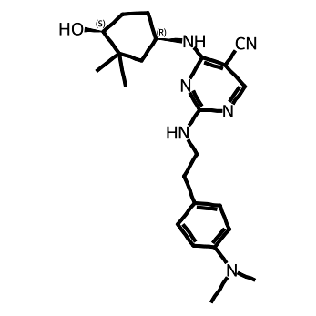 CN(C)c1ccc(CCNc2ncc(C#N)c(N[C@@H]3CC[C@H](O)C(C)(C)C3)n2)cc1